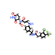 C/C(=C\C(=O)N(C=O)C1CCC(=O)NC1=O)Nc1cccc(C(C)(C)NC(=O)Cc2ccc(C(F)(F)F)c(Cl)c2)c1